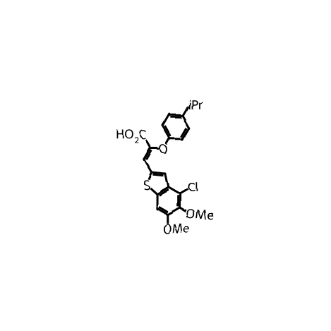 COc1cc2sc(C=C(Oc3ccc(C(C)C)cc3)C(=O)O)cc2c(Cl)c1OC